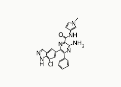 Cn1ccc(NC(=O)c2nc(-c3cc(Cl)c4[nH]ncc4c3)c(-c3ccccc3)nc2N)c1